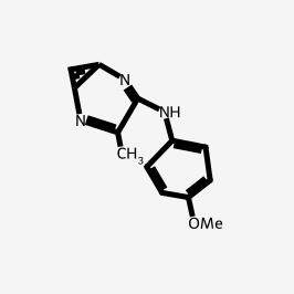 COc1ccc(Nc2nc3c(nc2C)=C=3)cc1